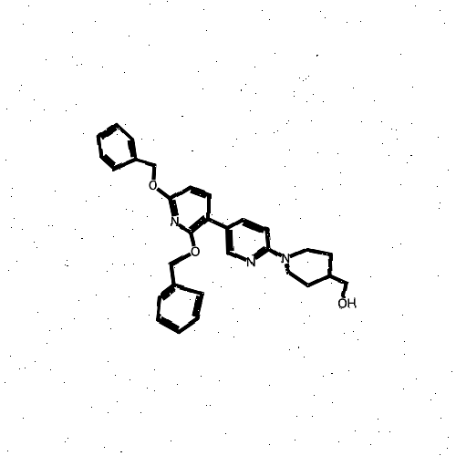 OCC1CCN(c2ccc(-c3ccc(OCc4ccccc4)nc3OCc3ccccc3)cn2)CC1